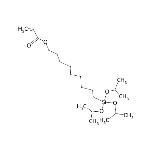 C=CC(=O)OCCCCCCCCC[Si](OC(C)C)(OC(C)C)OC(C)C